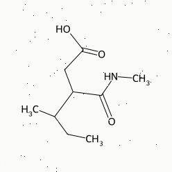 CCC(C)C(CC(=O)O)C(=O)NC